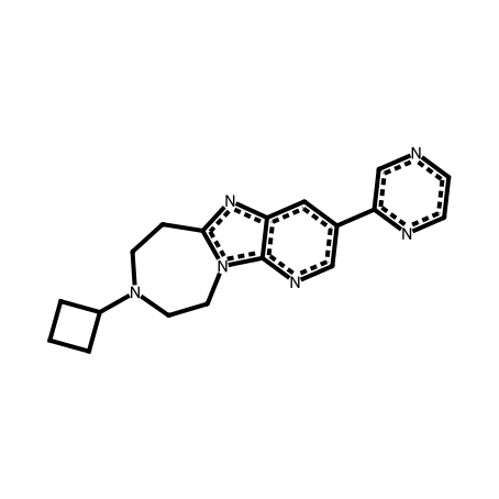 c1cnc(-c2cnc3c(c2)nc2n3CCN(C3CCC3)CC2)cn1